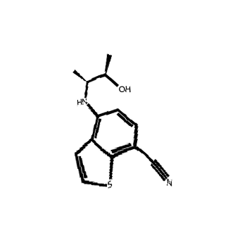 C[C@H](Nc1ccc(C#N)c2sccc12)[C@@H](C)O